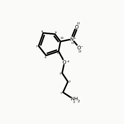 NCCCOc1ccccc1[N+](=O)[O-]